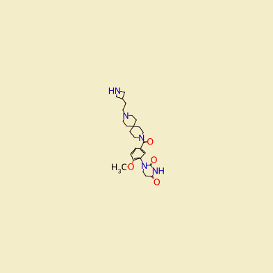 COc1ccc(C(=O)N2CCC3(CCN(CCC4CNC4)CC3)CC2)cc1N1CCC(=O)NC1=O